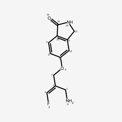 NC/C(=C\F)COc1ccc2c(c1)CNC2=O